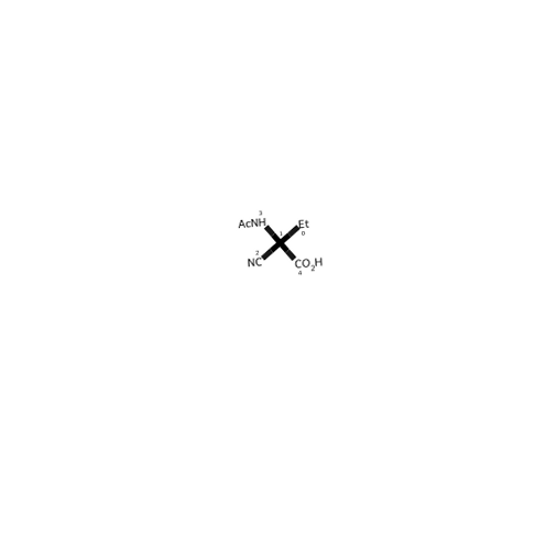 CCC(C#N)(NC(C)=O)C(=O)O